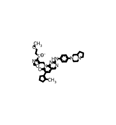 COCC[S+]([O-])c1ncoc1Cn1c(=O)c(C2=C(C)CCC2)cc2cnc(Nc3ccc(N4CCN5CCCC5C4)cc3)nc21